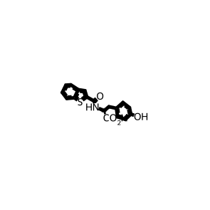 O=C(N[C@@H](Cc1ccc(O)cc1)C(=O)O)c1cc2ccccc2s1